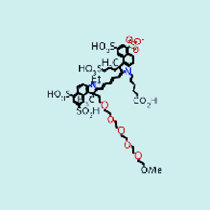 CC[N+]1=C(/C=C/C=C/C=C2/N(CCCCCC(=O)O)c3ccc4c(S(=O)(=O)[O-])cc(S(=O)(=O)O)cc4c3C2(C)CCCS(=O)(=O)O)C(C)(CCOCCOCCOCCOCCOCCOC)c2c1ccc1c(S(=O)(=O)O)cc(S(=O)(=O)O)cc21